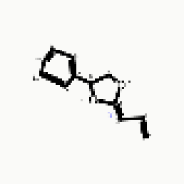 C=C/C=C1\OCC(c2ccccc2)O1